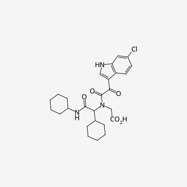 O=C(O)CN(C(=O)C(=O)c1c[nH]c2cc(Cl)ccc12)C(C(=O)NC1CCCCC1)C1CCCCC1